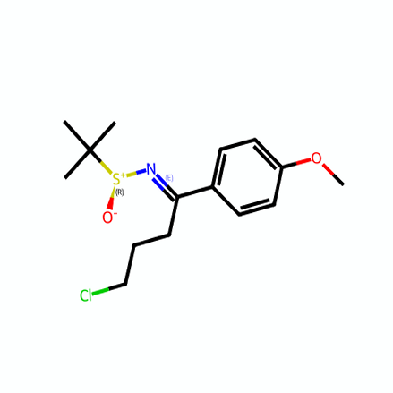 COc1ccc(/C(CCCCl)=N/[S@@+]([O-])C(C)(C)C)cc1